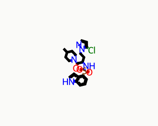 CC1CCN(C(=O)C(CCn2nccc2Cl)NS(=O)(=O)c2cccc3[nH]ccc23)CC1